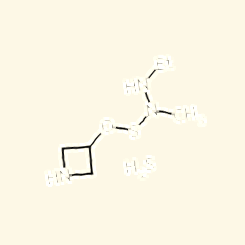 CCNN(C)SOC1CNC1.S